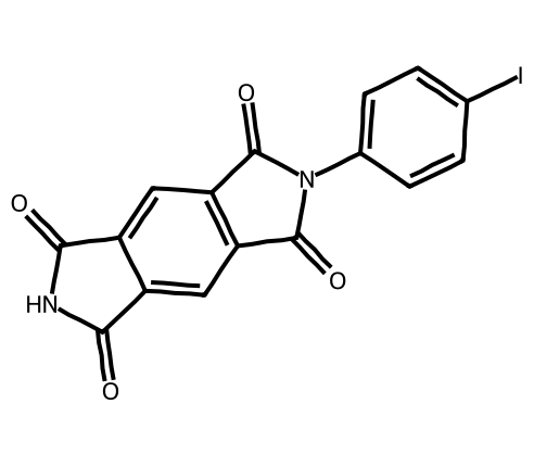 O=c1[nH]c(=O)c2cc3c(=O)n(-c4ccc(I)cc4)c(=O)c3cc12